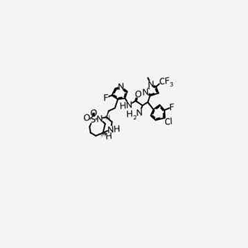 Cn1nc(C(c2ccc(Cl)c(F)c2)C(N)C(=O)Nc2cncc(F)c2CC[C@H]2CN[C@@H]3CCCS(=O)(=O)N2C3)cc1C(F)(F)F